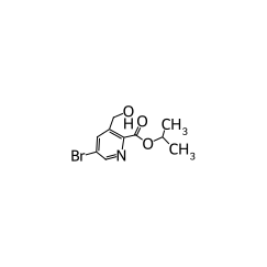 CC(C)OC(=O)c1ncc(Br)cc1CO